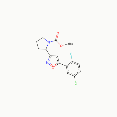 CC(C)(C)OC(=O)N1CCCC1c1cc(-c2cc(Cl)ccc2F)on1